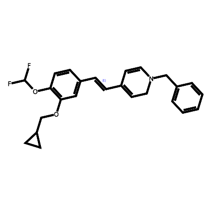 FC(F)Oc1ccc(/C=C/C2=CCN(Cc3ccccc3)C=C2)cc1OCC1CC1